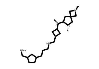 CNCC1CCC(CCCNCC2CC([C@@H](C)C3CC4(C[C@@H]3C)CN(C)C4)C2)C1